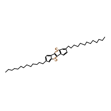 CCCCCCCCCCCCCc1ccc2c(c1)sc1c3ccc(CCCCCCCCCCCCC)cc3sc21